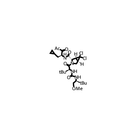 COC[C@@H](NC(=O)N[C@H](C(=O)N1C[C@H]2[C@@H]([C@H]1C(=O)N[C@@H](CC1CC1)C(=O)C(C)=O)C2(Cl)Cl)C(C)(C)C)C(C)(C)C